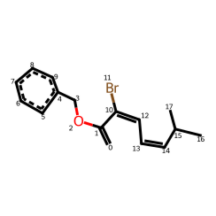 C=C(OCc1ccccc1)/C(Br)=C\C=C/C(C)C